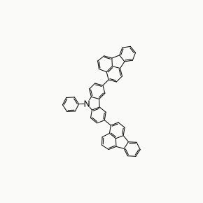 c1ccc(-n2c3ccc(-c4ccc5c6c(cccc46)-c4ccccc4-5)cc3c3cc(-c4ccc5c6c(cccc46)-c4ccccc4-5)ccc32)cc1